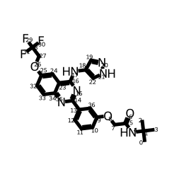 CC(C)(C)NC(=O)COc1cccc(-c2nc(Nc3cn[nH]c3)c3cc(OCC(F)(F)F)ccc3n2)c1